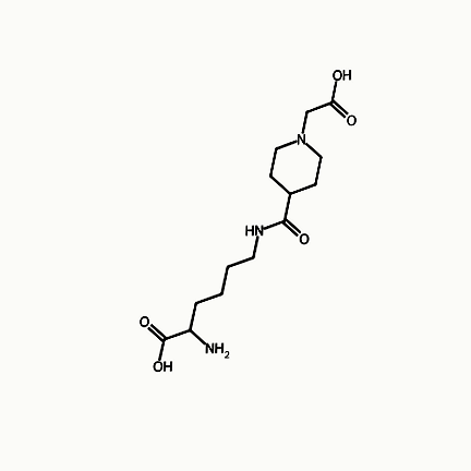 NC(CCCCNC(=O)C1CCN(CC(=O)O)CC1)C(=O)O